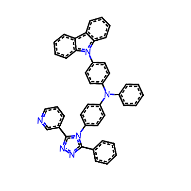 c1ccc(-c2nnc(-c3cccnc3)n2-c2ccc(N(c3ccccc3)c3ccc(-n4c5ccccc5c5ccccc54)cc3)cc2)cc1